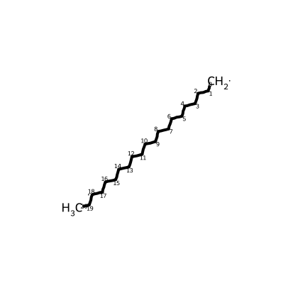 [CH2]CCCCCCCCCCCCCCCCC[CH]CC